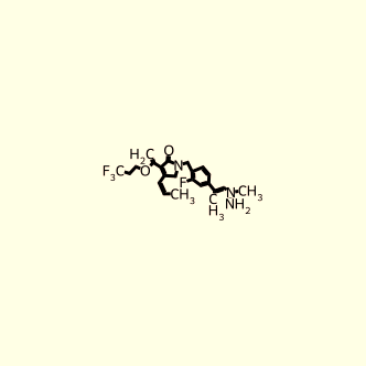 C=C(OCCC(F)(F)F)C1=C(/C=C\C)CN(Cc2ccc(/C(C)=C/N(C)N)cc2F)C1=O